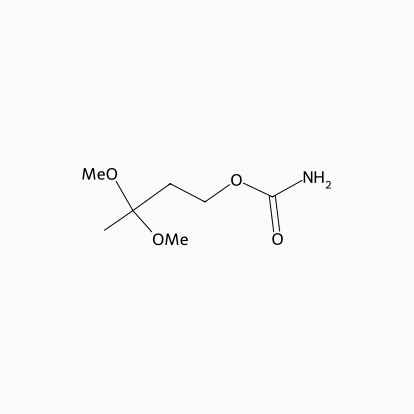 COC(C)(CCOC(N)=O)OC